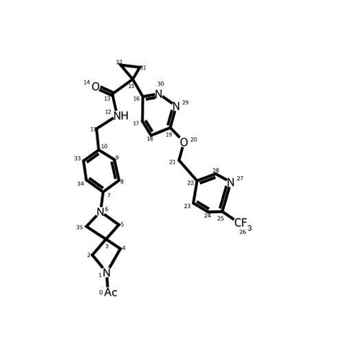 CC(=O)N1CC2(C1)CN(c1ccc(CNC(=O)C3(c4ccc(OCc5ccc(C(F)(F)F)nc5)nn4)CC3)cc1)C2